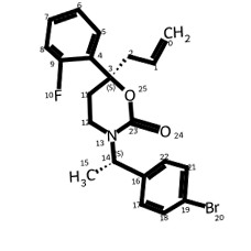 C=CC[C@@]1(c2ccccc2F)CCN([C@@H](C)c2ccc(Br)cc2)C(=O)O1